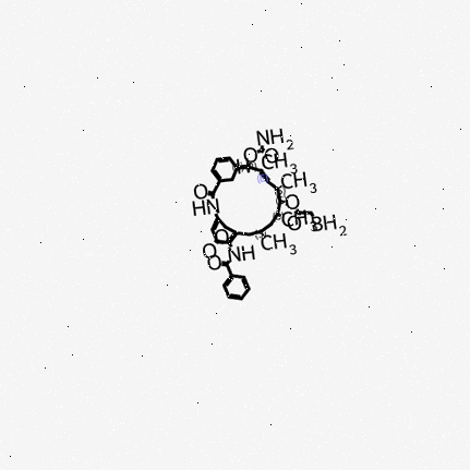 BCC(=O)O[C@@H]1[C@@H](C)/C=C(\C)[C@H](OC(N)=O)[C@@H]2C=CC=C(C2)C(=O)NC2=CC(=O)C(NC(=O)c3ccccc3)=C(C[C@@H](C)C[C@@H]1C)C2=O